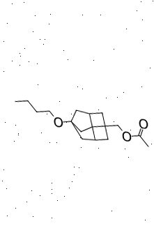 CCCCOC12CC3CC4(COC(C)=O)CC(C1)C34C2